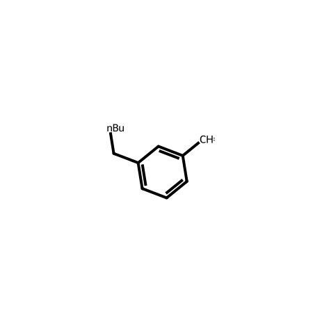 [CH]c1cccc(CCCCC)c1